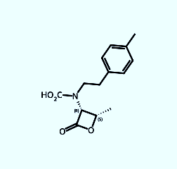 Cc1ccc(CCN(C(=O)O)[C@H]2C(=O)O[C@H]2C)cc1